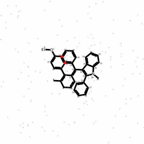 CCOc1ccc(C2=C(C)[C]C=CC2=C(c2ccccc2)c2c(-c3ccccc3)n(C)c3ccccc23)cc1